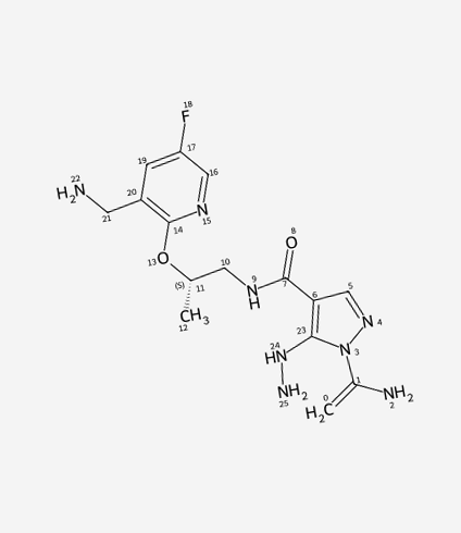 C=C(N)n1ncc(C(=O)NC[C@H](C)Oc2ncc(F)cc2CN)c1NN